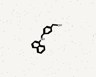 OCc1ccc(CNc2cccc3ccccc23)cc1